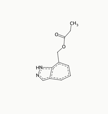 CCC(=O)OCc1cccc2cn[nH]c12